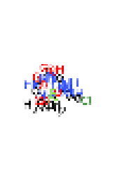 CC(C)(C)OC(=O)NC1CCCC(NC(=O)C(=O)NC[C@H](NC(=O)c2ccc(Nc3nc(NC4(c5ccc(Cl)cc5)CC4)nc(OCC(F)(F)F)n3)cc2)C(=O)O)C1